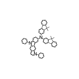 CC1(C)c2ccccc2-c2ccc(N(c3ccc4c(c3)C(C)(C)c3ccccc3-4)c3ccc4c(c3)c3cc5c(ccn5-c5ccccc5)cc3n4-c3ccccc3)cc21